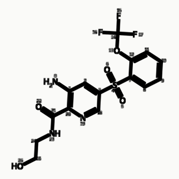 Nc1cc(S(=O)(=O)c2ccccc2OC(F)(F)F)cnc1C(=O)NCCO